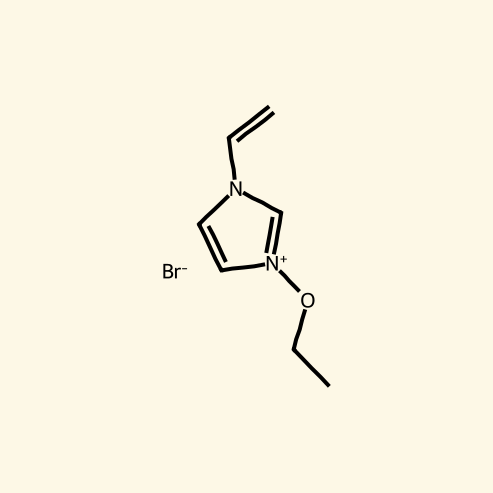 C=Cn1cc[n+](OCC)c1.[Br-]